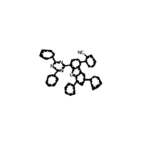 N#Cc1ccccc1-c1ccc(-c2nc(-c3ccccc3)nc(-c3ccccc3)n2)c2oc3c(-c4ccccc4)cc(-c4ccccc4)cc3c12